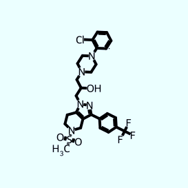 CS(=O)(=O)N1CCc2c(c(-c3ccc(C(F)(F)F)cc3)nn2CC(O)CN2CCN(c3[c]cccc3Cl)CC2)C1